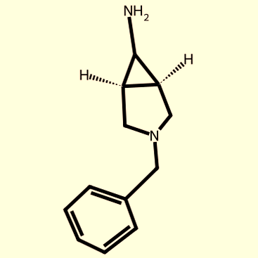 NC1[C@H]2CN(Cc3ccccc3)C[C@@H]12